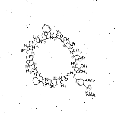 CC[C@H]1C(=O)N(C)[C@@H](Cc2ccccc2)C(=O)N[C@@H](C)C(=O)N(C)[C@@H](CC(C)C)C(=O)N(C)[C@@H](CC(C)C)C(=O)N[C@@H]([C@@H](C)O)C(=O)N(CCc2ccc(C(=O)NC)c(OC)c2)CC(=O)N(C)[C@@H](CC(C)C)C(=O)N[C@H](C(=O)N2CCCCC2)CC(=O)N(C)[C@@H](C(C)C)C(=O)N[C@@H](CC(C)C)C(=O)N1C